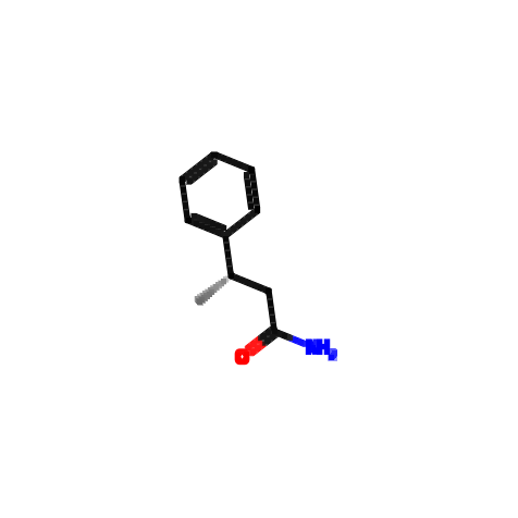 C[C@@H](CC(N)=O)c1ccccc1